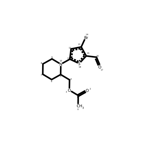 CC(=O)OCC1CCCCN1c1cc(Br)c(C=O)s1